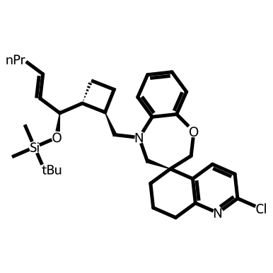 CCC/C=C/[C@H](O[Si](C)(C)C(C)(C)C)[C@@H]1CC[C@H]1CN1C[C@@]2(CCCc3nc(Cl)ccc32)COc2ccccc21